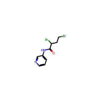 O=C(Nc1cccnc1)C(Br)CCBr